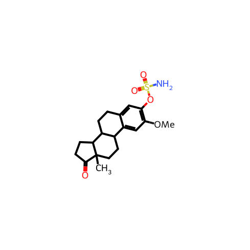 COc1cc2c(cc1OS(N)(=O)=O)CCC1C2CCC2(C)C(=O)CCC12